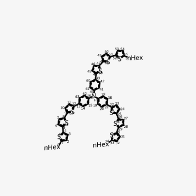 CCCCCCc1ccc(-c2ccc(-c3ccc(-c4ccc(N(c5ccc(-c6ccc(-c7ccc(-c8ccc(CCCCCC)s8)s7)s6)cc5)c5ccc(-c6ccc(-c7ccc(-c8ccc(CCCCCC)s8)s7)s6)cc5)cc4)s3)s2)s1